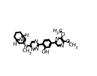 COc1ncc(-c2ccc(-c3ncc(N(C)[C@@H]4C[C@H]5CCC[C@@H](C4)N5)nn3)c(O)c2)nc1OC